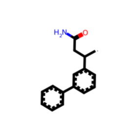 [CH2]C(CC(N)=O)c1cccc(-c2ccccc2)c1